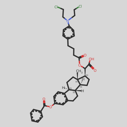 C[C@]12CC[C@@H]3c4ccc(OC(=O)c5ccccc5)cc4CC[C@H]3[C@@H]1CC[C@@H]2C(OC(=O)CCCc1ccc(N(CCCl)CCCl)cc1)C(=O)O